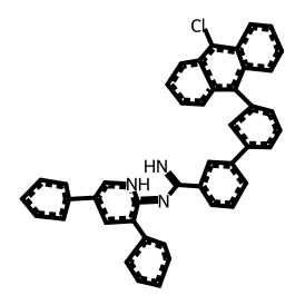 N=C(/N=c1\[nH]cc(-c2ccccc2)cc1-c1ccccc1)c1cccc(-c2cccc(-c3c4ccccc4c(Cl)c4ccccc34)c2)c1